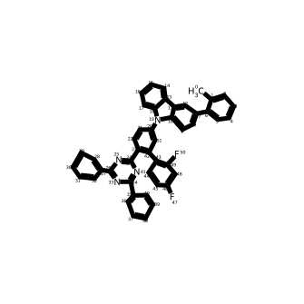 Cc1ccccc1-c1ccc2c(c1)c1ccccc1n2-c1ccc(-c2nc(-c3ccccc3)nc(-c3ccccc3)n2)c(-c2ccc(F)cc2F)c1